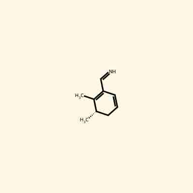 CC1=C(C=N)C=CC[C@@H]1C